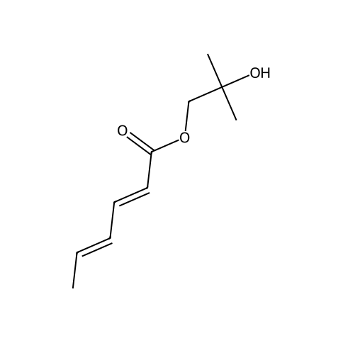 C/C=C/C=C/C(=O)OCC(C)(C)O